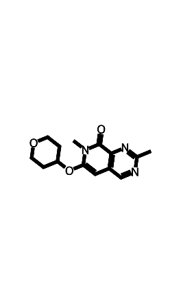 Cc1ncc2cc(OC3CCOCC3)n(C)c(=O)c2n1